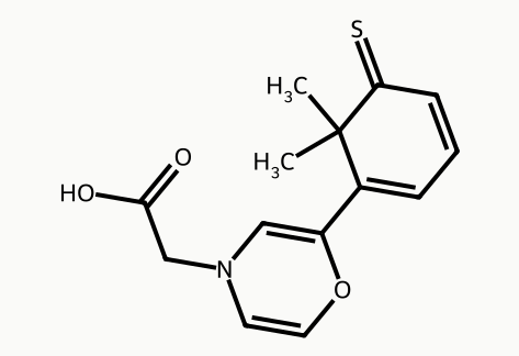 CC1(C)C(=S)C=CC=C1C1=CN(CC(=O)O)C=CO1